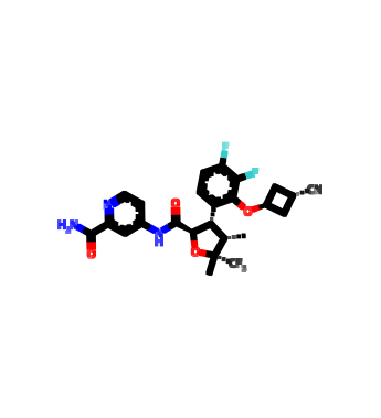 C[C@H]1[C@@H](c2ccc(F)c(F)c2O[C@H]2C[C@H](C#N)C2)[C@H](C(=O)Nc2ccnc(C(N)=O)c2)O[C@@]1(C)C(F)(F)F